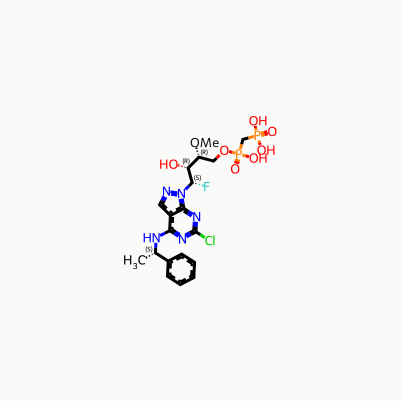 CO[C@H](COP(=O)(O)CP(=O)(O)O)[C@@H](O)[C@H](F)n1ncc2c(N[C@@H](C)c3ccccc3)nc(Cl)nc21